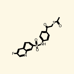 CC(=O)SCC(=O)c1ccc(NS(=O)(=O)c2ccc3cc(F)cnc3c2)cc1